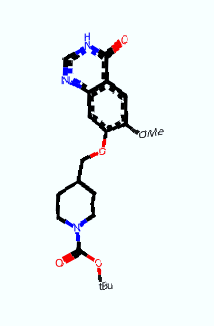 COc1cc2c(=O)[nH]cnc2cc1OCC1CCN(C(=O)OC(C)(C)C)CC1